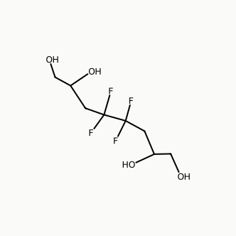 OCC(O)CC(F)(F)C(F)(F)CC(O)CO